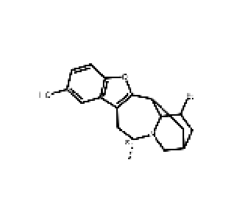 CCC1CC2CC3c4oc5ccc(O)cc5c4C[C@@H](C)N(C2)C13